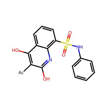 CC(=O)c1c(O)nc2c(S(=O)(=O)Nc3ccccc3)cccc2c1O